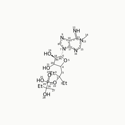 CCC(CC)(CC1O[C@@H](n2cnc3c(=N)n(C)cnc32)[C@H](O)C1O)OP(=O)(O)C(C)(O)CC